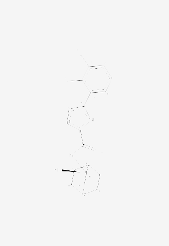 O=C(N[C@H]1CN2CCC1CC2)c1ccc(-c2cccc(Cl)c2Cl)[nH]1